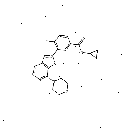 Cc1ccc(C(=O)NC2CC2)cc1-c1cc2cnnc(N3CCOCC3)c2s1